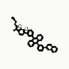 C#CCCc1oc2c(ccc3c4cc(-c5c6ccccc6c(-c6cccc(-c7ccc8ccccc8c7)c6)c6ccccc56)ccc4oc32)c1C